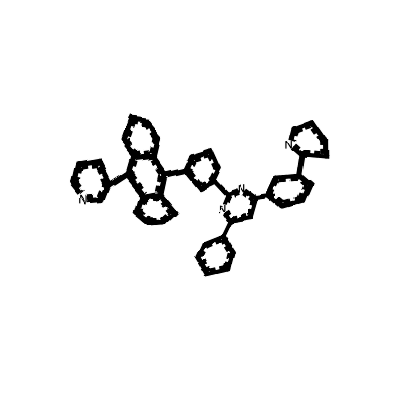 c1ccc(-c2cc(-c3cccc(-c4ccccn4)c3)nc(-c3cccc(-c4c5ccccc5c(-c5cccnc5)c5ccccc45)c3)n2)cc1